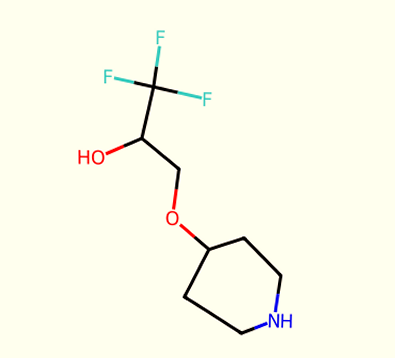 OC(COC1CCNCC1)C(F)(F)F